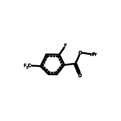 CCCOC(=O)c1ccc(C(F)(F)F)cc1F